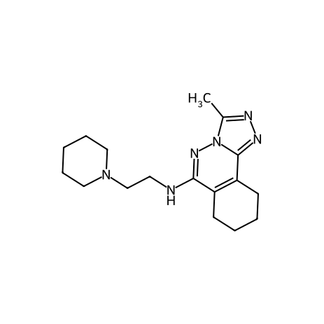 Cc1nnc2c3c(c(NCCN4CCCCC4)nn12)CCCC3